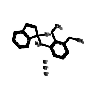 CCc1cccc([SiH2][C]2([Ti+3])C=Cc3ccccc32)c1CC.[Cl-].[Cl-].[Cl-]